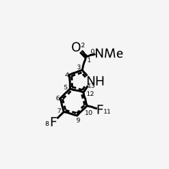 CNC(=O)c1cc2cc(F)cc(F)c2[nH]1